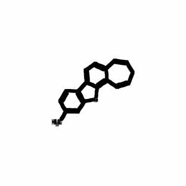 Cc1ccc2c(c1)sc1c3c(ccc12)C=CCC=C3